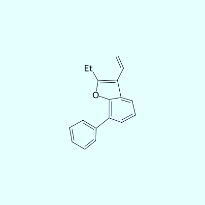 C=Cc1c(CC)oc2c(-c3ccccc3)cccc12